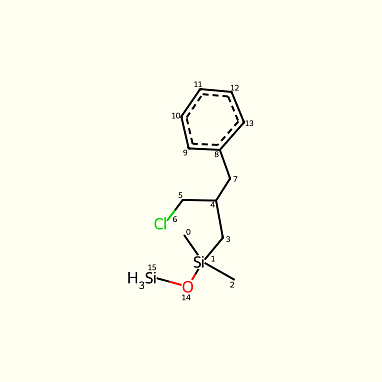 C[Si](C)(CC(CCl)Cc1ccccc1)O[SiH3]